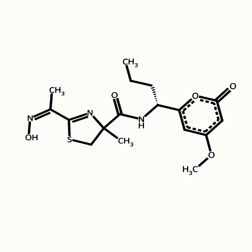 CCC[C@@H](NC(=O)C1(C)CSC(/C(C)=N\O)=N1)c1cc(OC)cc(=O)o1